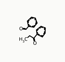 CCC(=O)c1ccccc1.O=Cc1ccccc1